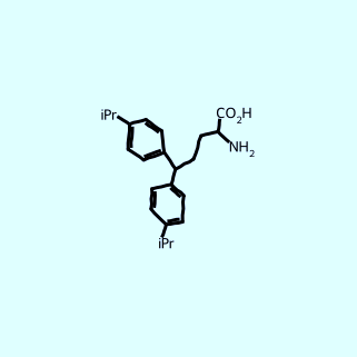 CC(C)c1ccc(C(CCC(N)C(=O)O)c2ccc(C(C)C)cc2)cc1